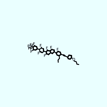 CCCCOc1ccc(C#Cc2cc(F)c(-c3cc(F)c4c(F)c(C5=CC(F)C(c6cc(F)c(S(F)(F)(F)(F)F)c(F)c6)C(F)=C5)c(F)cc4c3)cc2CCC)cc1